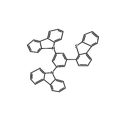 c1ccc2c(c1)sc1c(-c3cc(-n4c5ccccc5c5ccccc54)cc(-n4c5ccccc5c5ccccc54)c3)cccc12